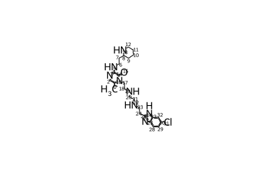 Cc1cnc(NCCC2CCCCN2)c(=O)n1CCNCCNCCc1nc2ccc(Cl)cc2[nH]1